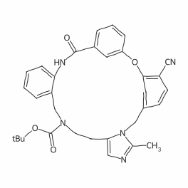 Cc1ncc2n1Cc1ccc(C#N)c(c1)Oc1cccc(c1)C(=O)Nc1ccccc1CN(C(=O)OC(C)(C)C)CC2